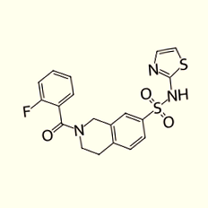 O=C(c1ccccc1F)N1CCc2ccc(S(=O)(=O)Nc3nccs3)cc2C1